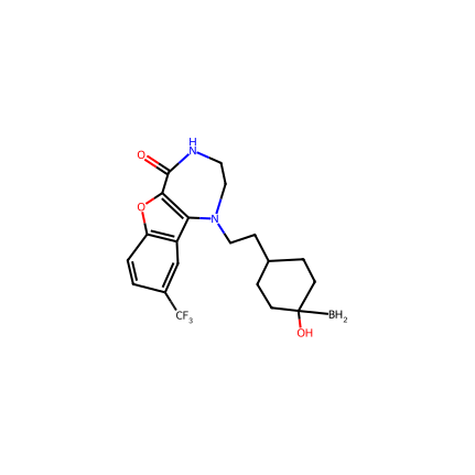 BC1(O)CCC(CCN2CCNC(=O)c3oc4ccc(C(F)(F)F)cc4c32)CC1